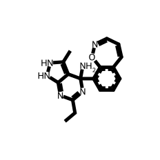 CCC1=NC(N)(c2cccc3c2ON=CC=C3)C2=C(C)NNC2=N1